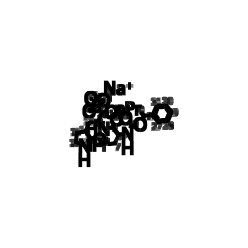 CCCC(OC(=O)N[C@@H](CC(C)C)C(=O)N[C@@H](C[C@@H]1CCNC1=O)C(O)S(=O)(=O)[O-])c1ccccc1.[Na+]